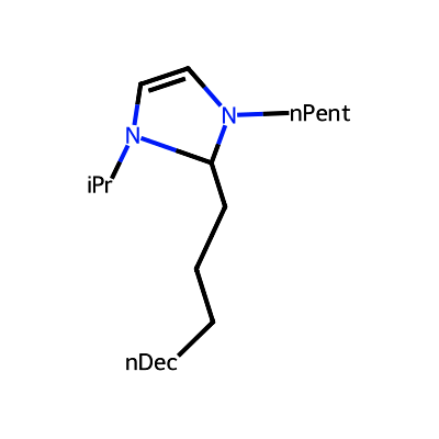 CCCCCCCCCCCCCC1N(CCCCC)C=CN1C(C)C